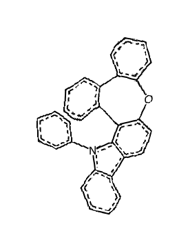 c1ccc(-n2c3ccccc3c3ccc4c(c32)-c2ccccc2-c2ccccc2O4)cc1